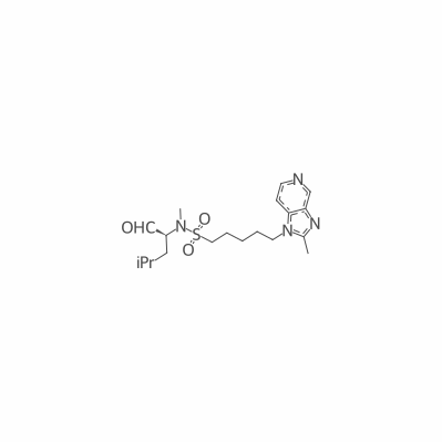 Cc1nc2cnccc2n1CCCCCS(=O)(=O)N(C)[C@H](C=O)CC(C)C